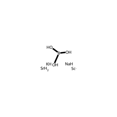 OB(O)O.[KH].[NaH].[Sc].[SrH2]